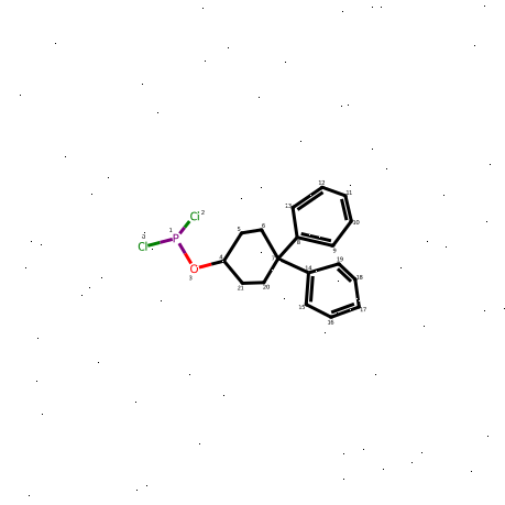 ClP(Cl)OC1CCC(c2ccccc2)(c2ccccc2)CC1